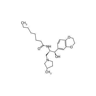 CCCCCCCC(=O)N[C@H](CN1CCC(C)C1)[C@H](O)c1ccc2c(c1)OCCO2